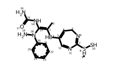 C/C(BC1=CCN=C([SH](C)S)N=C1)=C(\NC(N)=O)N(N)c1ccccc1